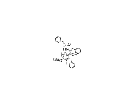 CC(C)(C)OC(=O)N[C@@H](Cc1ccccc1)[C@@H](O)[C@@H](O)[C@H](Cc1ccccc1)NC(=O)OCc1ccccc1